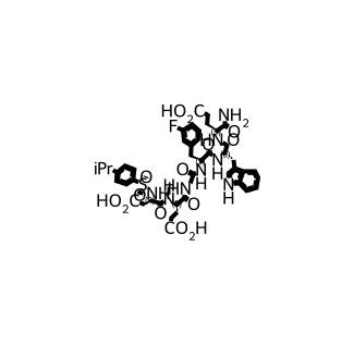 CC(C)c1ccc(S(=O)(=O)N[C@H](CC(=O)O)C(=O)N[C@@H](CCC(=O)O)C(=O)NCC(=O)N[C@@H](Cc2cccc(F)c2)C(=O)N[C@@H](Cc2c[nH]c3ccccc23)C(=O)N[C@@H](CCC(=O)O)C(N)=O)cc1